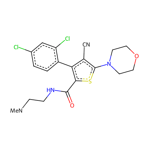 CNCCNC(=O)c1sc(N2CCOCC2)c(C#N)c1-c1ccc(Cl)cc1Cl